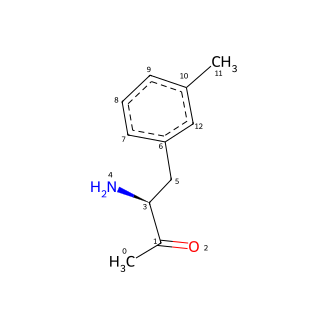 CC(=O)[C@@H](N)Cc1cccc(C)c1